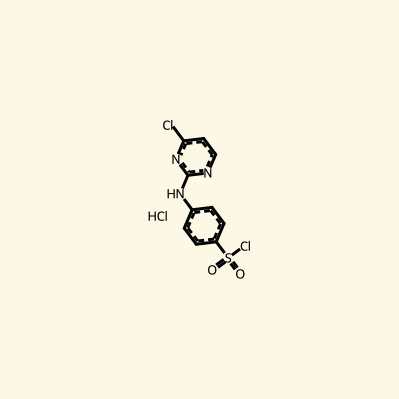 Cl.O=S(=O)(Cl)c1ccc(Nc2nccc(Cl)n2)cc1